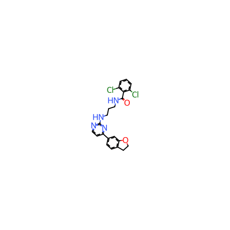 O=C(NCCCNc1nccc(-c2ccc3c(c2)OCC3)n1)c1c(Cl)cccc1Cl